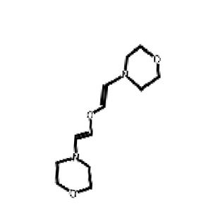 C(=CN1CCOCC1)OC=CN1CCOCC1